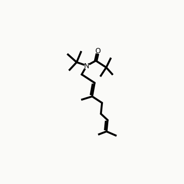 CC(C)=CCC/C(C)=C/CN(C(=O)C(C)(C)C)C(C)(C)C